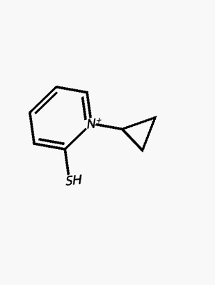 Sc1cccc[n+]1C1CC1